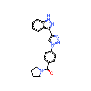 O=C(c1ccc(-n2cc(-c3n[nH]c4ccccc34)nn2)cc1)N1[CH]CCC1